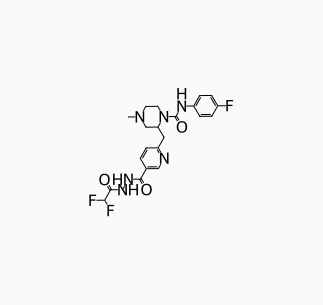 CN1CCN(C(=O)Nc2ccc(F)cc2)C(Cc2ccc(C(=O)NNC(=O)C(F)F)cn2)C1